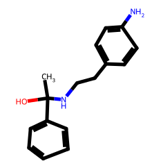 CC(O)(NCCc1ccc(N)cc1)c1ccccc1